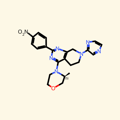 C[C@H]1COCCN1c1nc(-c2ccc([N+](=O)[O-])cc2)nc2c1CCN(c1cnccn1)C2